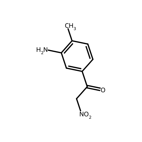 Cc1ccc(C(=O)C[N+](=O)[O-])cc1N